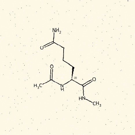 CNC(=O)[C@H](CCCC(N)=O)NC(C)=O